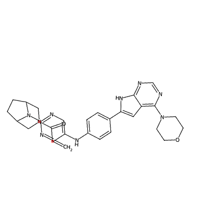 C=CC(=O)N1CC2CCC(C1)N2c1ncc(Nc2ccc(-c3cc4c(N5CCOCC5)ncnc4[nH]3)cc2)cn1